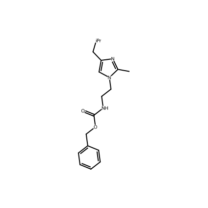 Cc1nc(CC(C)C)cn1CCNC(=O)OCc1ccccc1